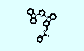 O=C(OCc1ccc2c(c1)c1ccccc1n2-c1cccc(-n2c3ccccc3c3ccccc32)n1)C1CC2C=CC1C2